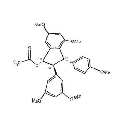 COc1ccc([C@H]2c3c(OC)cc(OC)cc3[C@@H](OC(=O)C(F)(F)F)[C@@H]2c2cc(OC)cc(OC)c2)cc1